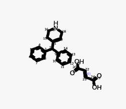 C1=C(C(c2ccccc2)c2ccccc2)CCNC1.O=C(O)/C=C/C(=O)O